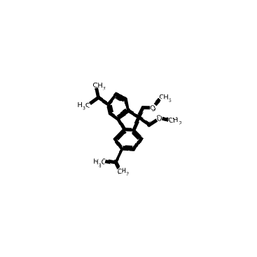 COCC1(COC)c2ccc(C(C)C)cc2-c2cc(C(C)C)ccc21